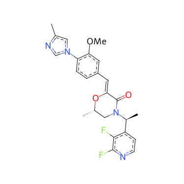 COc1cc(/C=C2\O[C@@H](C)CN([C@@H](C)c3ccnc(F)c3F)C2=O)ccc1-n1cnc(C)c1